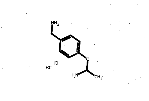 Cl.Cl.[CH2]C(N)Oc1ccc(CN)cc1